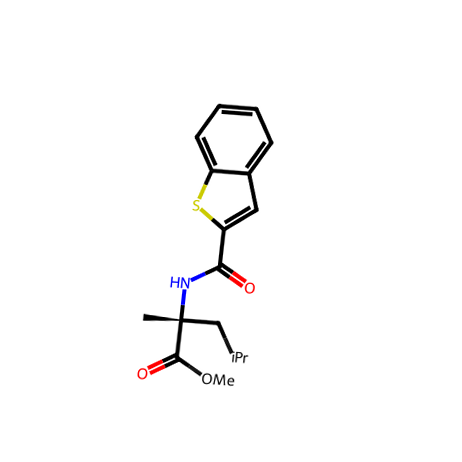 COC(=O)[C@@](C)(CC(C)C)NC(=O)c1cc2ccccc2s1